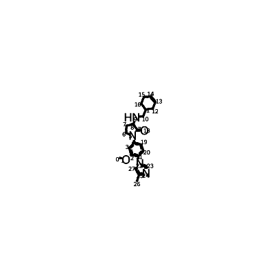 COc1cc(N2CCC(NCC3CC=CCC3)C2=O)ccc1-n1cnc(C)c1